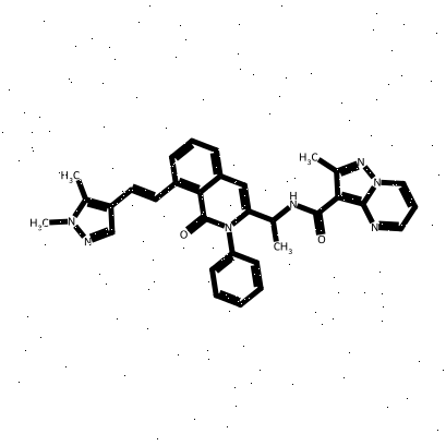 Cc1nn2cccnc2c1C(=O)NC(C)c1cc2cccc(/C=C/c3cnn(C)c3C)c2c(=O)n1-c1ccccc1